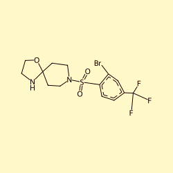 O=S(=O)(c1ccc(C(F)(F)F)cc1Br)N1CCC2(CC1)NCCO2